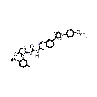 Cc1ccc(C(C)C)c(N2C(=O)CS/C2=N\C(=O)NC(C)/C=C\c2cccc(-c3ncn(-c4ccc(OC(F)(F)F)cc4)n3)c2)c1